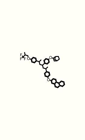 CC(CC(CC(C)c1ccc(Oc2ccc3c(ccc4ccccc43)c2)cc1)c1ccc(OC2CC3CCC2C3)cc1)c1ccc(OCC(C)C(F)(F)F)cc1